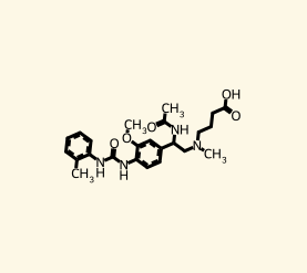 COc1cc(C(CN(C)CCCC(=O)O)NC(C)=O)ccc1NC(=O)Nc1ccccc1C